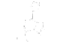 NC(=O)c1ccc(-c2ccsc2)n2n[c]nc12